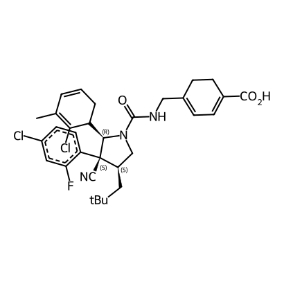 CC1=C(Cl)C([C@H]2N(C(=O)NCC3=CC=C(C(=O)O)CC3)C[C@@H](CC(C)(C)C)[C@]2(C#N)c2ccc(Cl)cc2F)CC=C1